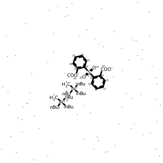 CCCC[N+](C)(CCCC)CCCC.CCCC[N+](C)(CCCC)CCCC.O=C([O-])c1ccccc1S(=O)(=O)c1ccccc1C(=O)[O-]